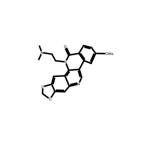 COc1[c]cc2c(=O)n(CCN(C)C)c3c4cc5c(cc4ncc3c2c1)OCO5